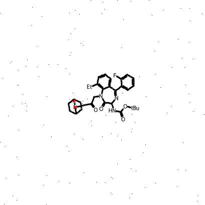 CCc1cccc2c1N(CC(=O)N1CC3CCC(CC3)C1)C(=O)C(NC(=O)OC(C)(C)C)N=C2c1ccccc1F